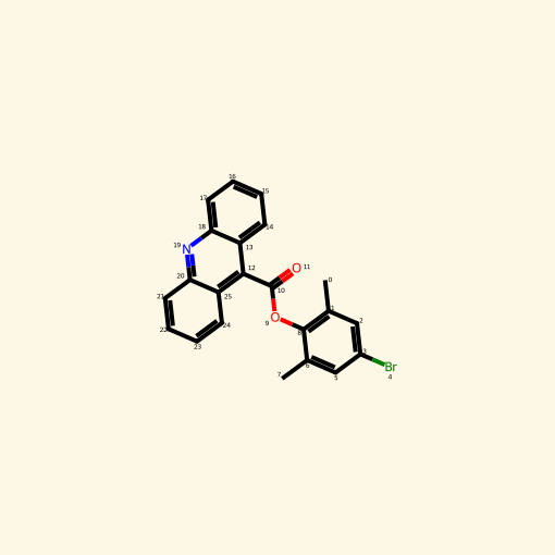 Cc1cc(Br)cc(C)c1OC(=O)c1c2ccccc2nc2ccccc12